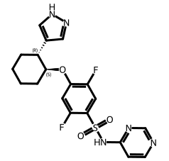 O=S(=O)(Nc1ccncn1)c1cc(F)c(O[C@H]2CCCC[C@@H]2c2cn[nH]c2)cc1F